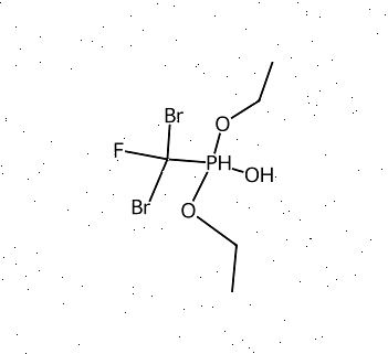 CCO[PH](O)(OCC)C(F)(Br)Br